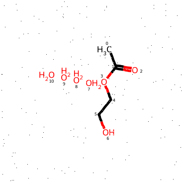 CC(=O)OCCO.O.O.O.O